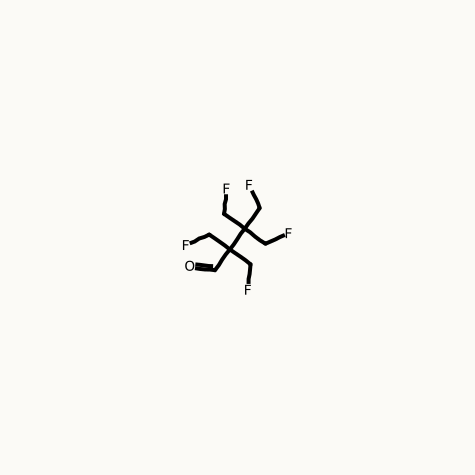 O=CC(CF)(CF)C(CF)(CF)CF